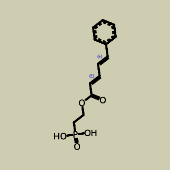 O=C(/C=C/C=C/c1ccccc1)OCCP(=O)(O)O